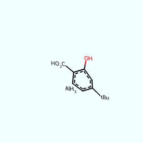 CC(C)(C)c1ccc(C(=O)O)c(O)c1.[AlH3]